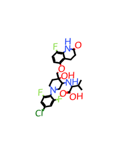 CC(C)C(NC1CN(c2c(F)cc(Cl)cc2F)CCC1(O)COc1ccc(F)c2c1CCC(=O)N2)C(=O)O